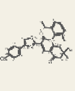 CCc1cccc(C)c1-n1c2c(cc(-c3nc(-c4ccc(Cl)cc4)cs3)c1=O)C(=O)CC(C)(C)C2